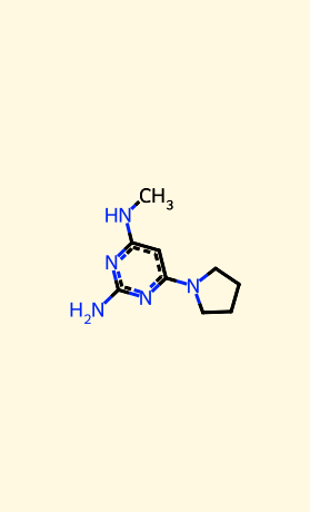 CNc1cc(N2CCCC2)nc(N)n1